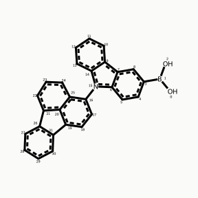 OB(O)c1ccc2c(c1)c1ccccc1n2-c1ccc2c3c(cccc13)-c1ccccc1-2